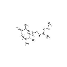 CC(Br)C(=O)O.CC(Br)C(=O)O.CCOC(C)OCC